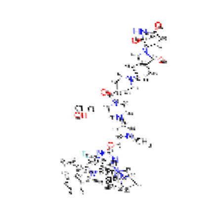 CC(C)[Si](C#Cc1cccc2cccc(-c3ncc4c(N5CC6CCC(C5)N6)nc(OC[C@@H]5C[C@H](N6CCN(C(=O)C7CCN(c8ccc9c(c8)CN(C8CCC(=O)NC8=O)C9=O)CC7)CC6)CN5C)nc4c3F)c12)(C(C)C)C(C)C.O=CO